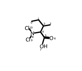 CCC(C)C(C(=O)O)N(Cl)Cl